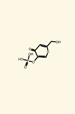 O=c1cc(CO)occ1OP(=O)(O)O